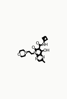 Cc1cnc2c(n1)c(O)c(C(=O)NC13CC(C1)C3)c(=O)n2CCN1CCOCC1